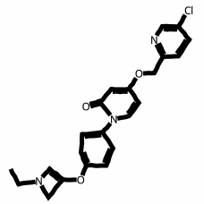 CCN1C=C(Oc2ccc(-n3ccc(OCc4ccc(Cl)cn4)cc3=O)cc2)C1